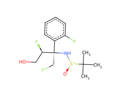 CC(C)(C)[S@@+]([O-])N[C@](CF)(c1ccccc1F)[C@H](F)CO